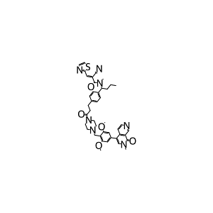 CCCC(c1ccc(CCC(=O)N2CCN(Cc3c(OC)cc(-c4cn(C)c(=O)c5cnccc45)cc3OC)CC2)cc1)N(C)C(=O)/C(C#N)=C/c1nccs1